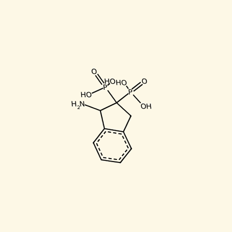 NC1c2ccccc2CC1(P(=O)(O)O)P(=O)(O)O